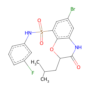 CC(C)CC1Oc2c(cc(Br)cc2S(=O)(=O)Nc2cccc(F)c2)NC1=O